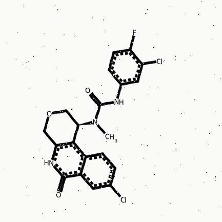 CN(C(=O)Nc1ccc(F)c(Cl)c1)[C@@H]1COCc2[nH]c(=O)c3cc(Cl)ccc3c21